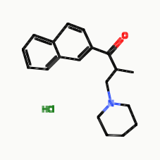 CC(CN1CCCCC1)C(=O)c1ccc2ccccc2c1.Cl